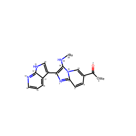 COC(=O)c1ccc2nc(-c3c[nH]c4ncccc34)c(NC(C)(C)C)n2c1